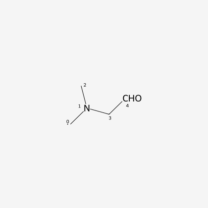 [CH2]N(C)CC=O